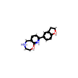 c1cc2c(cc1-c1ccc3c(n1)OCCNC3)CCO2